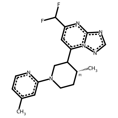 Cc1ccnc(N2CC[C@@H](C)C(c3cc(C(F)F)nc4ncnn34)C2)c1